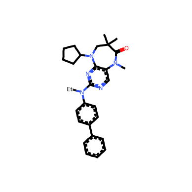 CCN(c1ccc(-c2ccccc2)cc1)c1ncc2c(n1)N(C1CCCC1)CC(C)(C)C(=O)N2C